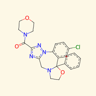 O=C(c1nc2n(n1)-c1ccc(Cl)cc1C1(c3ccccc3)OCCN1C2)N1CCOCC1